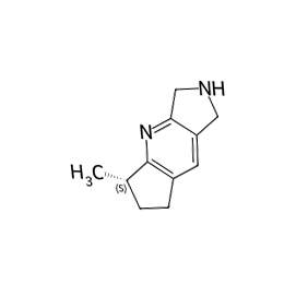 C[C@H]1CCc2cc3c(nc21)CNC3